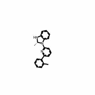 Cc1ccccc1-c1cccc(N2c3ccccc3N[C@H]2C)n1